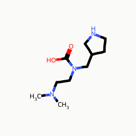 CN(C)CCN(CC1CCNC1)C(=O)O